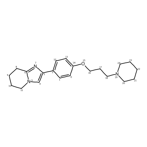 c1cc(-c2cn3c(n2)CCCC3)ccc1OCCCN1CCCCC1